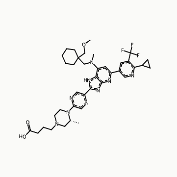 COCC1(CN(C)c2cc(-c3cnc(C4CC4)c(C(F)(F)F)c3)nc3nc(-c4cnc(N5CCN(CCCC(=O)O)C[C@H]5C)cn4)[nH]c23)CCCCC1